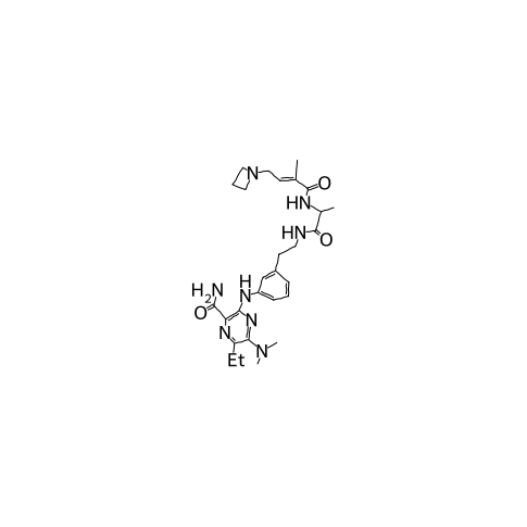 CCc1nc(C(N)=O)c(Nc2cccc(CCNC(=O)C(C)NC(=O)C(C)=CCN3CCC3)c2)nc1N(C)C